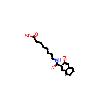 O=C(O)CCCCCCCNC(=O)c1cc2ccccc2cc1O